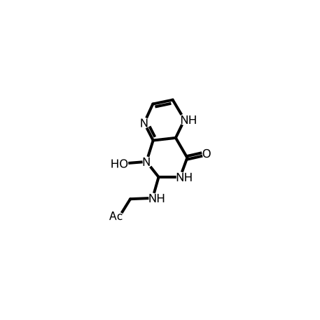 CC(=O)CNC1NC(=O)C2NC=CN=C2N1O